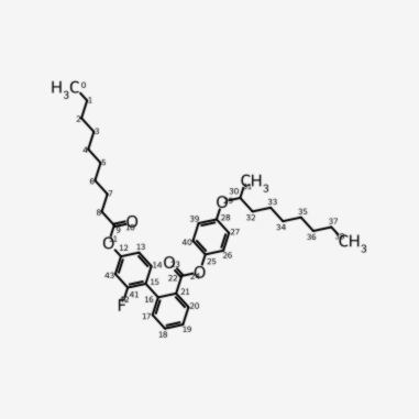 CCCCCCCCCC(=O)Oc1ccc(-c2ccccc2C(=O)Oc2ccc(OC(C)CCCCCCC)cc2)c(F)c1